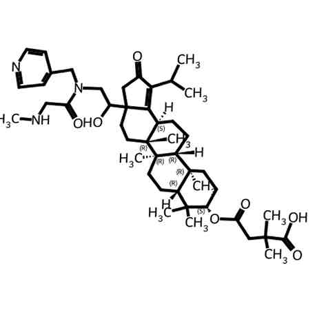 CNCC(=O)N(Cc1ccncc1)CC(O)C12CC[C@]3(C)[C@H](CC[C@@H]4[C@@]5(C)CC[C@H](OC(=O)CC(C)(C)C(=O)O)C(C)(C)[C@@H]5CC[C@]43C)C1=C(C(C)C)C(=O)C2